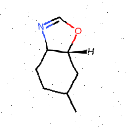 CC1CCC2N=CO[C@@H]2C1